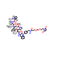 CC[C@H](C)[C@@H]([C@@H](CC(=O)N1CCCC1[C@H](OC)[C@@H](C)C(=O)NC(Cc1ccccc1)C(=O)Nc1ccc(CNC(=O)CCOCCOCCN2C(=O)C=CC2=O)cc1)OC)N(C)C(=O)C(NC(=O)[C@@H]1[C@H]2CC[C@H](C2)N1C)C(C)C